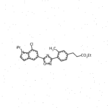 CCOC(=O)CCc1ccc(-c2noc(-c3cc(Cl)c4c(ccn4C(C)C)c3)n2)c(C)c1